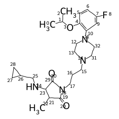 CC(C)Oc1ccc(F)cc1N1CCN(CCCN2C(=O)C(C)C(NCC3CC3)C2=O)CC1